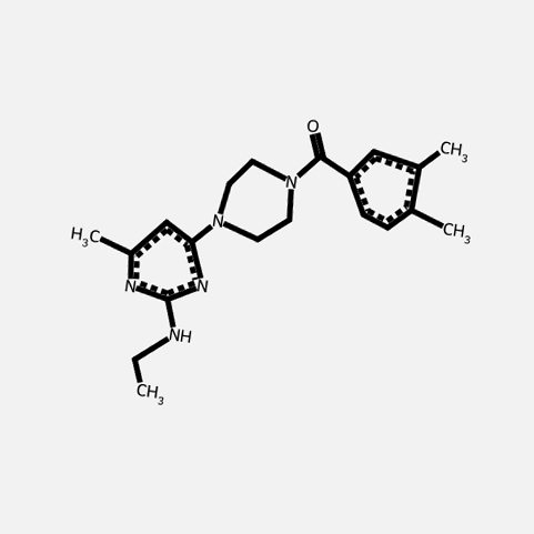 CCNc1nc(C)cc(N2CCN(C(=O)c3ccc(C)c(C)c3)CC2)n1